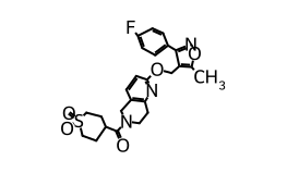 Cc1onc(-c2ccc(F)cc2)c1COc1ccc2c(n1)CCN(C(=O)C1CCS(=O)(=O)CC1)C2